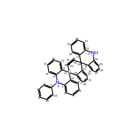 c1ccc(N2c3ccccc3[Si]3(c4ccccc42)c2ccccc2C2(c4ccccc4Nc4ccccc42)c2ccccc23)cc1